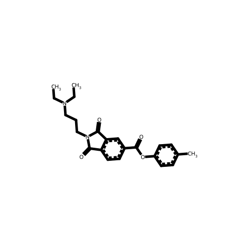 CCN(CC)CCCN1C(=O)c2ccc(C(=O)Oc3ccc(C)cc3)cc2C1=O